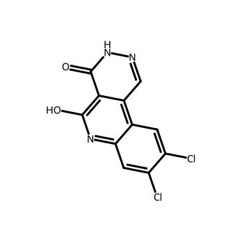 O=c1[nH]ncc2c1c(O)nc1cc(Cl)c(Cl)cc12